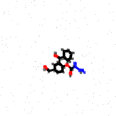 NNC(=O)Oc1ccc(C=O)cc1C(=O)c1ccccc1